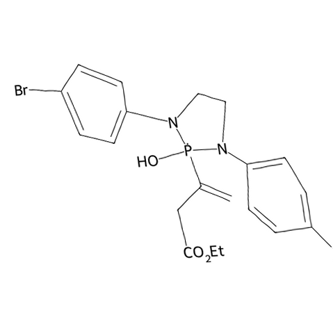 C=C(CC(=O)OCC)[P]1(O)N(c2ccc(Br)cc2)CCN1c1ccc(Br)cc1